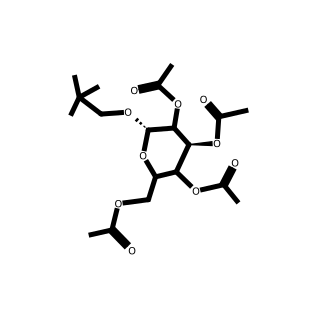 CC(=O)OCC1O[C@H](OCC(C)(C)C)C(OC(C)=O)[C@@H](OC(C)=O)C1OC(C)=O